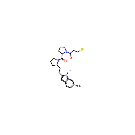 CCn1c(CCC2CCCN2C(=O)C2CCCN2C(=O)CCS)cc2ccc(C#N)cc21